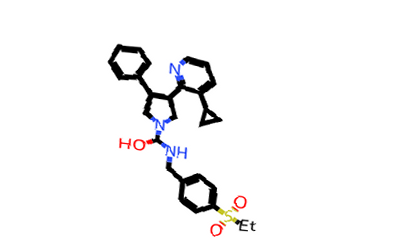 CCS(=O)(=O)c1ccc(CNC(O)N2CC(c3ccccc3)C(c3ncccc3C3CC3)C2)cc1